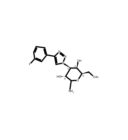 CC(=O)OC[C@H]1OC(N)[C@H](O)[C@@H](n2cc(-c3cccc(F)c3)nn2)[C@H]1O